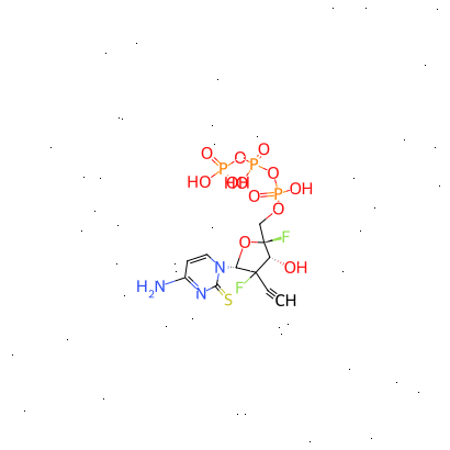 C#CC1(F)[C@@H](O)[C@@](F)(COP(=O)(O)OP(=O)(O)OP(=O)(O)O)O[C@H]1n1ccc(N)nc1=S